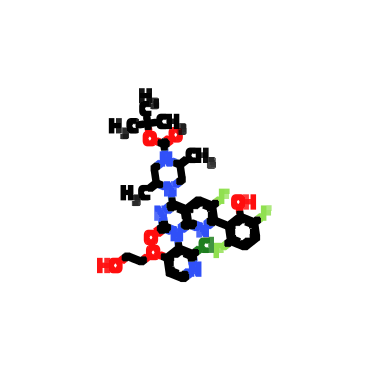 CC1CN(c2nc(=O)n(-c3c(OCCO)ccnc3Cl)c3nc(-c4c(F)ccc(F)c4O)c(F)cc23)C(C)CN1C(=O)OC(C)(C)C